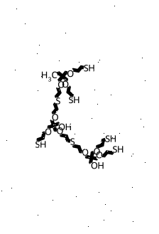 CCC(COCCCS)(COCCCS)COCCCSCCCOCC(CO)(COCCCS)COCCCSCCCOCC(CO)(COCCCS)COCCCS